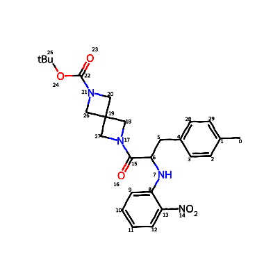 Cc1ccc(CC(Nc2ccccc2[N+](=O)[O-])C(=O)N2CC3(CN(C(=O)OC(C)(C)C)C3)C2)cc1